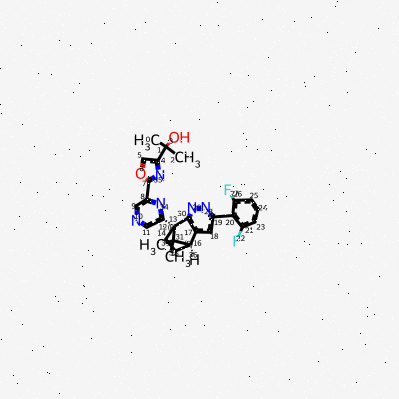 CC(C)(O)c1coc(-c2cncc([C@]34CC[C@H](c5cc(-c6c(F)cccc6F)nnc53)C4(C)C)n2)n1